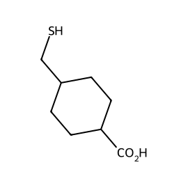 O=C(O)C1CCC(CS)CC1